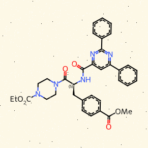 CCOC(=O)N1CCN(C(=O)[C@H](Cc2ccc(C(=O)OC)cc2)NC(=O)c2cc(-c3ccccc3)nc(-c3ccccc3)n2)CC1